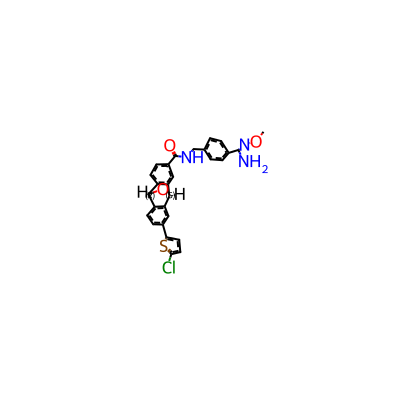 CON=C(N)c1ccc(CNC(=O)c2ccc3c(c2)[C@@H]2O[C@H]3c3ccc(-c4ccc(Cl)s4)cc32)cc1